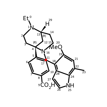 CCN1CC[C@]2(c3ccc(C(=O)O)cc3)C[C@H]1CCN2Cc1c(OC)cc(C)c2[nH]ccc12